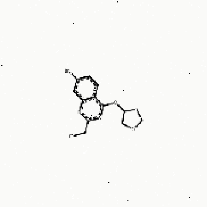 ClCc1nc(OC2CCOC2)c2ccc(Br)cc2n1